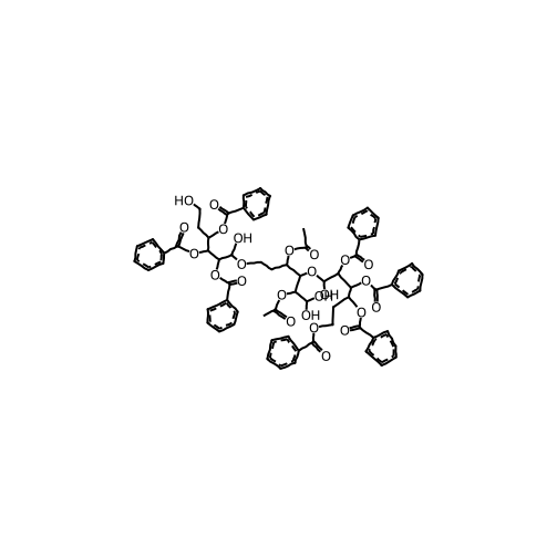 CC(=O)OC(CCOC(O)C(OC(=O)c1ccccc1)C(OC(=O)c1ccccc1)C(CCO)OC(=O)c1ccccc1)C(OC(O)C(OC(=O)c1ccccc1)C(OC(=O)c1ccccc1)C(CCOC(=O)c1ccccc1)OC(=O)c1ccccc1)C(OC(C)=O)C(O)O